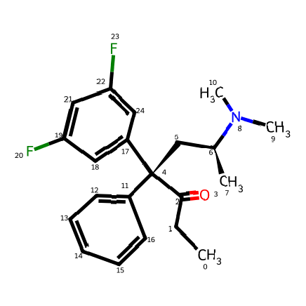 CCC(=O)[C@](C[C@H](C)N(C)C)(c1ccccc1)c1cc(F)cc(F)c1